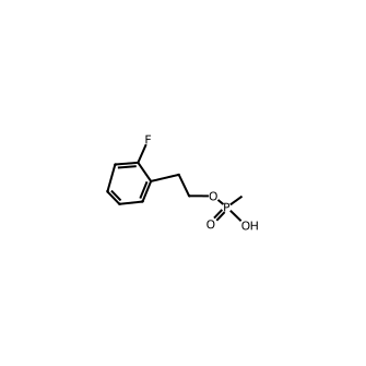 CP(=O)(O)OCCc1ccccc1F